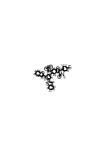 CNC(=O)c1c(-c2ccc(F)cc2)oc2cc(N(C)S(C)(=O)=O)c(-c3cc(-c4cc5ccccc5s4)nc(-c4cc5ccccc5s4)c3)cc12